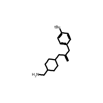 C=C(Cc1ccc(C(C)(C)C)cc1)CC1CCC(CN)CC1